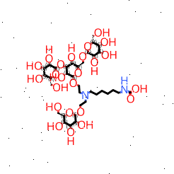 O=C(O)NCCCCCCN(CCO[C@H]1O[C@H](CO)[C@@H](O)[C@H](O)[C@@H]1O)CCO[C@H]1O[C@H](CO[C@H]2O[C@H](CO)[C@@H](O)[C@H](O)[C@@H]2O)[C@@H](O)[C@H](O[C@H]2O[C@H](CO)[C@@H](O)[C@H](O)[C@@H]2O)[C@@H]1O